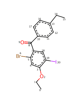 CCOc1cc(Br)c(C(=O)c2ccc(CC)cc2)cc1I